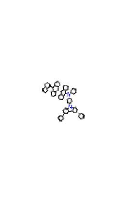 c1ccc(-c2ccc3c(c2)c2cc(-c4ccccc4)ccc2n3-c2ccc(N(c3ccccc3)c3c4ccccc4c(-c4c5ccccc5c(-c5cccc6ccccc56)c5ccccc45)c4ccccc34)cc2)cc1